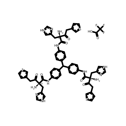 N[C@@](Cc1c[nH]cn1)(C(=O)Cc1ccsc1)C(=O)Nc1ccc(C(c2ccc(NC(=O)[C@](N)(Cc3c[nH]cn3)C(=O)Cc3ccsc3)cc2)c2ccc(NC(=O)[C@](N)(Cc3c[nH]cn3)C(=O)Cc3ccsc3)cc2)cc1.O=C(O)C(F)(F)F